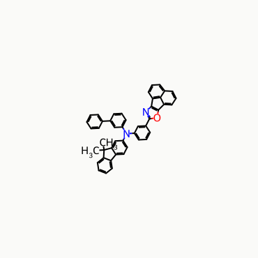 CC1(C)c2ccccc2-c2ccc(N(c3cccc(-c4ccccc4)c3)c3cccc(-c4nc5c(o4)-c4cccc6cccc-5c46)c3)cc21